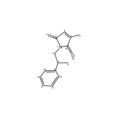 CC1=CC(=O)N(CC(C)c2ccccc2)C1=O